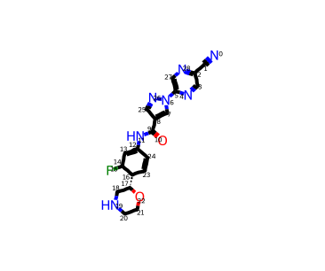 N#Cc1cnc(-n2cc(C(=O)NC3=CC(F)C([C@H]4CNCCO4)C=C3)cn2)cn1